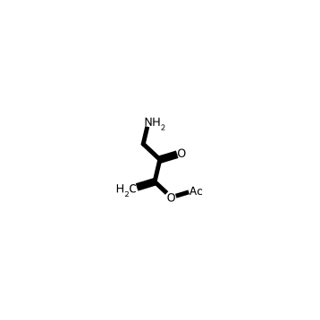 C=C(OC(C)=O)C(=O)CN